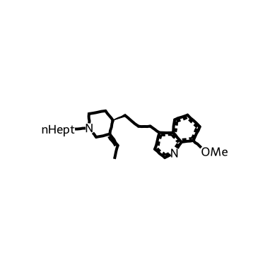 CC=C1CN(CCCCCCC)CC[C@H]1CCCc1ccnc2c(OC)cccc12